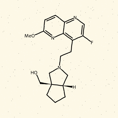 COc1ccc2ncc(F)c(CCN3C[C@@H]4CCC[C@]4(CO)C3)c2n1